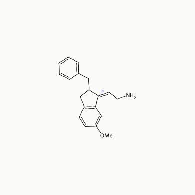 COc1ccc2c(c1)/C(=C\CN)C(Cc1ccccc1)C2